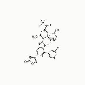 C[C@@H]1CN(C(=O)C2(F)CC2)C[C@@H](C)N1c1nc2cc(-c3noc(=O)[nH]3)nc(-c3cncc(Cl)c3)c2n1C[C@H]1CC[C@H](C)CC1